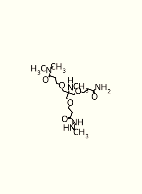 CNNC(=O)CCOCC(COCCC(N)=O)(COCCC(=O)N(C)C)NC